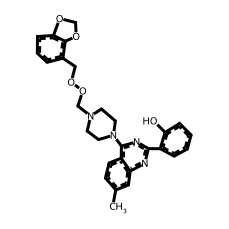 Cc1ccc2c(N3CCN(COOCc4cccc5c4OCO5)CC3)nc(-c3ccccc3O)nc2c1